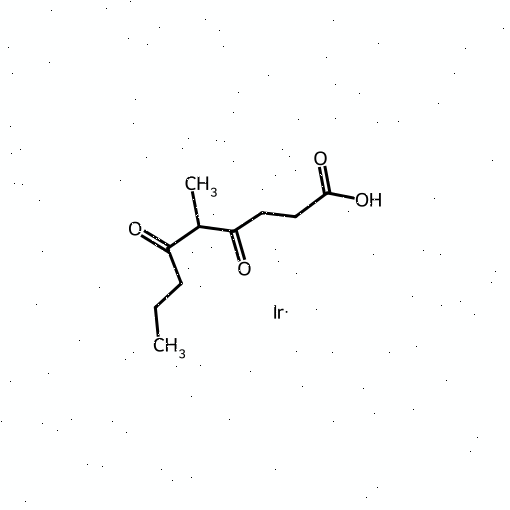 CCCC(=O)C(C)C(=O)CCC(=O)O.[Ir]